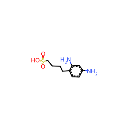 Nc1ccc(CCCCS(=O)(=O)O)c(N)c1